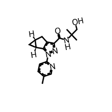 Cc1ccc(-n2nc(C(=O)NC(C)(C)CO)c3c2[C@@H]2C[C@@H]2C3)nc1